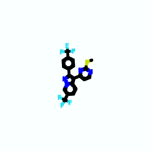 CSc1nccc(-c2c(-c3ccc(C(F)(F)F)cc3)nn3cc(C(F)(F)F)ccc23)n1